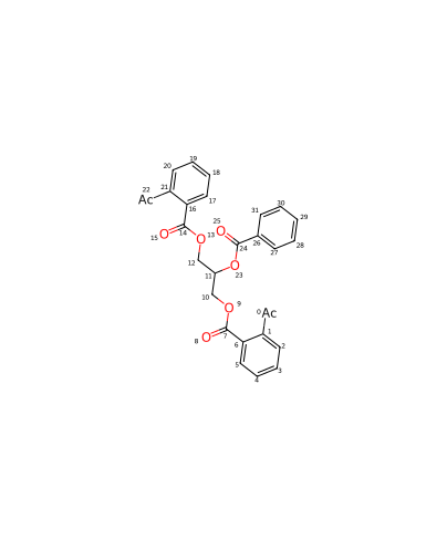 CC(=O)c1ccccc1C(=O)OCC(COC(=O)c1ccccc1C(C)=O)OC(=O)c1ccccc1